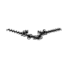 CCCCCCCCCCCCSC(=S)S[C@@H](C#N)CCC(=O)OCCSSCC(C)OC(=O)CC[C@@](C)(C#N)SC(=S)SCCCCCCCCCCCC